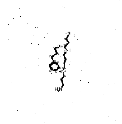 NCCCNCCCCNCCCN.OCCCc1ccccc1